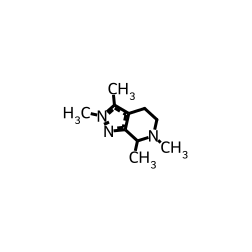 Cc1c2c(nn1C)C(C)N(C)CC2